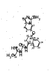 Bc1nnc2ccc(O[C@@H]3CC[C@H](NC(=O)NC(=N)C=C)c4ccccc43)cn12